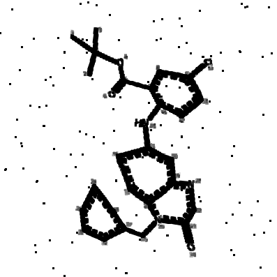 CC(C)(C)OC(=O)c1cc(Cl)ccc1Nc1ccc2c(c1)ncc(=O)n2Cc1ccccc1